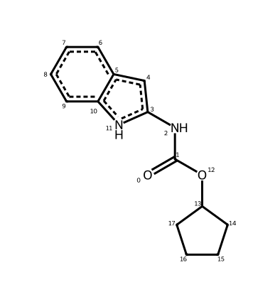 O=C(Nc1cc2ccccc2[nH]1)OC1CCCC1